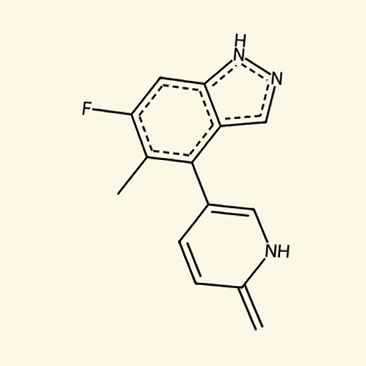 C=C1C=CC(c2c(C)c(F)cc3[nH]ncc23)=CN1